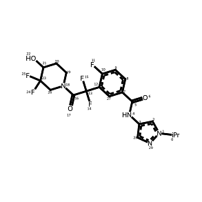 CC(C)n1cc(NC(=O)c2ccc(F)c(C(F)(F)C(=O)N3CCC(O)C(F)(F)C3)c2)cn1